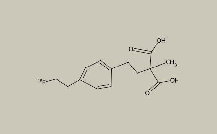 CC(CCc1ccc(CC[18F])cc1)(C(=O)O)C(=O)O